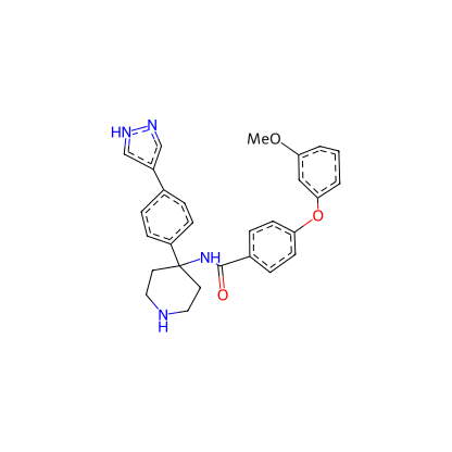 COc1cccc(Oc2ccc(C(=O)NC3(c4ccc(-c5cn[nH]c5)cc4)CCNCC3)cc2)c1